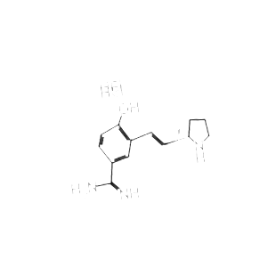 Cl.Cl.N=C(N)c1ccc(O)c(C=C[C@H]2CCCN2)c1